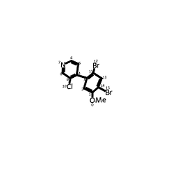 COc1cc(-c2ccncc2Cl)c(Br)cc1Br